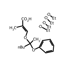 [CH2]C(CCCC)(OC=C(C)C(=O)O)Oc1ccccc1.[CH2]C[O].[CH2]C[O].[CH2]C[O].[CH2]C[O]